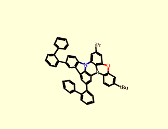 CC(C)c1cc2c3c(c1)-n1c4ccc(-c5ccccc5-c5ccccc5)cc4c4cc(-c5ccccc5-c5ccccc5)cc(c41)B3c1ccc(C(C)(C)C)cc1O2